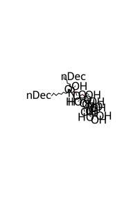 CCCCCCCCCCCCC/C=C/[C@@H](O)[C@H](CO[C@@H]1O[C@H](CO)[C@@H](O[C@@H]2O[C@H](CO)[C@H](O[C@H]3O[C@H](CO)[C@H](O)[C@H](O)[C@H]3O)[C@H](O)[C@H]2O)[C@H](O)[C@H]1O)NC(=O)CCCCCCCCCCCCCCCCC